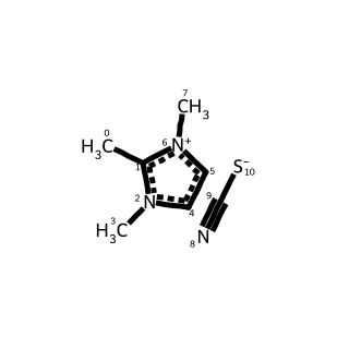 Cc1n(C)cc[n+]1C.N#C[S-]